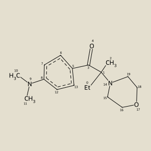 CCC(C)(C(=O)c1ccc(N(C)C)cc1)N1CCOCC1